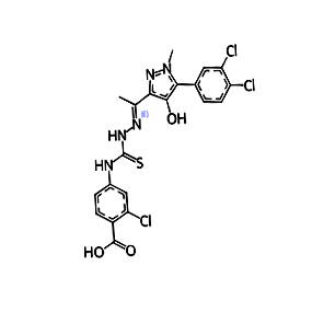 C/C(=N\NC(=S)Nc1ccc(C(=O)O)c(Cl)c1)c1nn(C)c(-c2ccc(Cl)c(Cl)c2)c1O